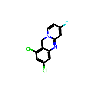 FC1=CC2=Nc3cc(Cl)cc(Cl)c3CN2C=C1